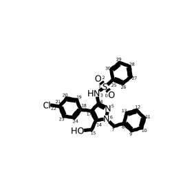 O=S(=O)(Nc1nn(Cc2ccccc2)c(CO)c1-c1ccc(Cl)cc1)c1ccccc1